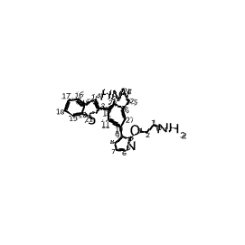 NCCOc1ncccc1-c1cc(-c2cc3ccccc3s2)c2[nH]ncc2c1